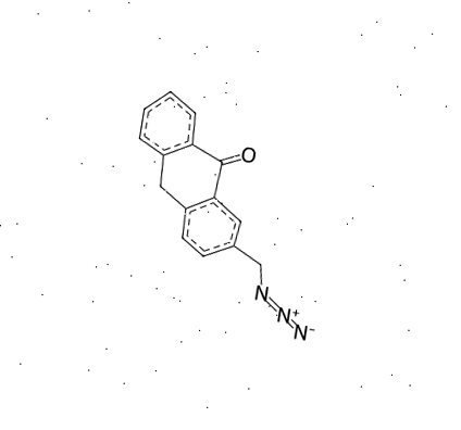 [N-]=[N+]=NCc1ccc2c(c1)C(=O)c1ccccc1C2